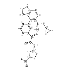 CC(=O)N1CC[C@H](NC(=O)c2c[nH]c3c(-c4c(OCC5CC5)ccc5c4OCO5)ncnc23)C1